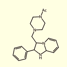 CC(=O)N1CCN(CC2C(c3ccccc3)NC3C=CC=CN32)CC1